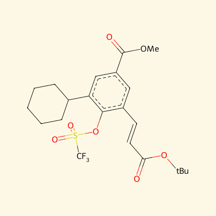 COC(=O)c1cc(C=CC(=O)OC(C)(C)C)c(OS(=O)(=O)C(F)(F)F)c(C2CCCCC2)c1